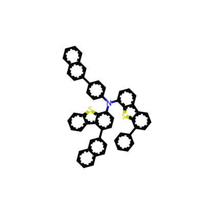 c1ccc(-c2cccc3c2sc2c(N(c4ccc(-c5ccc6ccccc6c5)cc4)c4ccc(-c5ccc6ccccc6c5)c5c4sc4ccccc45)cccc23)cc1